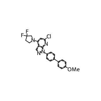 COc1ccc(-c2ccc(-n3ncc4c(N5CCC(F)(F)C5)cc(Cl)nc43)cc2)cc1